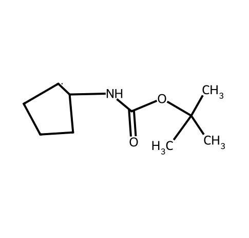 CC(C)(C)OC(=O)NC1[CH]CCC1